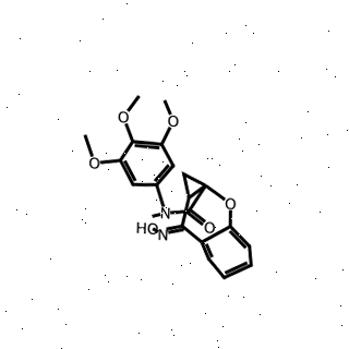 COc1cc(N(C)C(=O)C23CC2C(=NO)c2ccccc2O3)cc(OC)c1OC